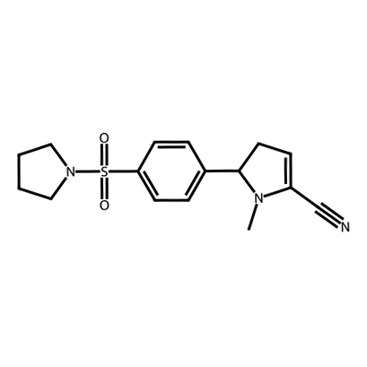 CN1C(C#N)=CCC1c1ccc(S(=O)(=O)N2CCCC2)cc1